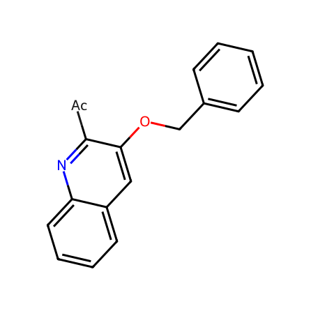 CC(=O)c1nc2ccccc2cc1OCc1ccccc1